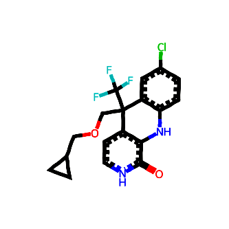 O=c1[nH]ccc2c1Nc1ccc(Cl)cc1C2(COCC1CC1)C(F)(F)F